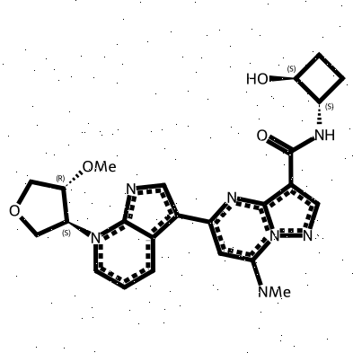 CNc1cc(-c2cnc3n([C@H]4COC[C@@H]4OC)cccc2-3)nc2c(C(=O)N[C@H]3CC[C@@H]3O)cnn12